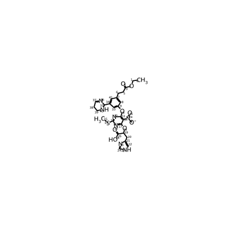 CCOC(=O)CCc1cc(Oc2nc(SC)nc(OC(Cc3c[nH]cn3)C(=O)O)c2[N+](=O)[O-])cc(C2N=CCCN2)c1